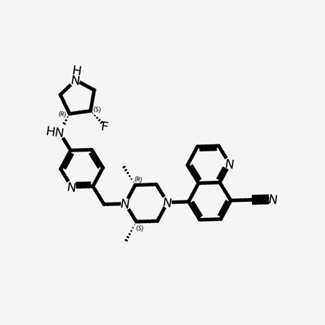 C[C@@H]1CN(c2ccc(C#N)c3ncccc23)C[C@H](C)N1Cc1ccc(N[C@@H]2CNC[C@@H]2F)cn1